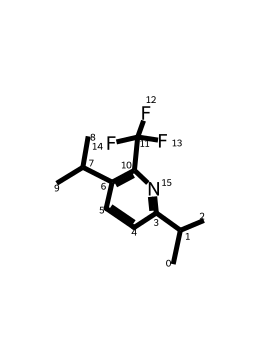 CC(C)c1ccc(C(C)C)c(C(F)(F)F)n1